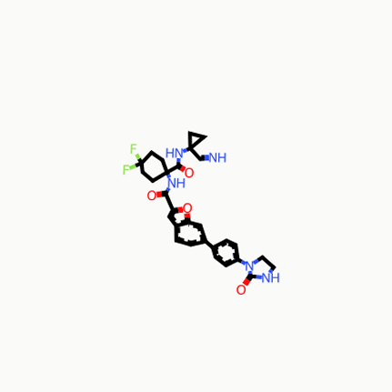 N=CC1(NC(=O)C2(NC(=O)c3cc4ccc(-c5ccc(N6CCNC6=O)cc5)cc4o3)CCC(F)(F)CC2)CC1